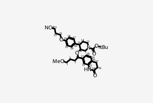 COCCCC(OC1CN(C(=O)OC(C)(C)C)CCC1c1ccc(OCCCC#N)cc1)c1ccc2c(c1)NC(=O)CC2